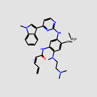 C=C/C=C\C(=O)Nc1cc(Nc2nccc(-c3cn(C)c4ccccc34)n2)c(OC)cc1N(C)CCN(C)C.CS(=O)(=O)O